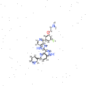 CN(C)CCOc1cc(F)cc(-c2nccc3[nH]c(-c4n[nH]c5ccc(-c6cccnc6)nc45)nc23)c1